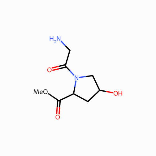 COC(=O)C1CC(O)CN1C(=O)CN